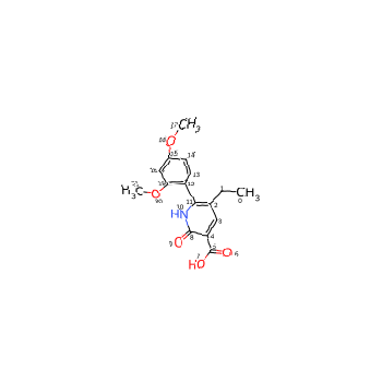 CCc1cc(C(=O)O)c(=O)[nH]c1-c1ccc(OC)cc1OC